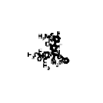 C=C(F)C(=O)N1CCN(c2c(C#N)c(OCC3CCCN3C)nc3c(F)c(-c4ccc(F)c5sc(N)nc45)c(Cl)cc23)C[C@H]1C